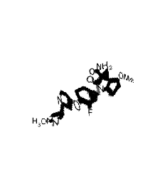 COc1cccc(N(C(=O)C2(C(N)=O)CC2)c2ccc(Oc3ccnc(-c4cnn(C)c4)c3)c(F)c2)c1